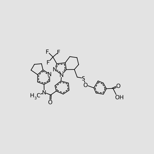 CN(C(=O)c1cccc(-n2nc(C(F)(F)F)c3c2C(CSOc2ccc(C(=O)O)cc2)CCC3)c1)c1cnc2c(c1)CCC2